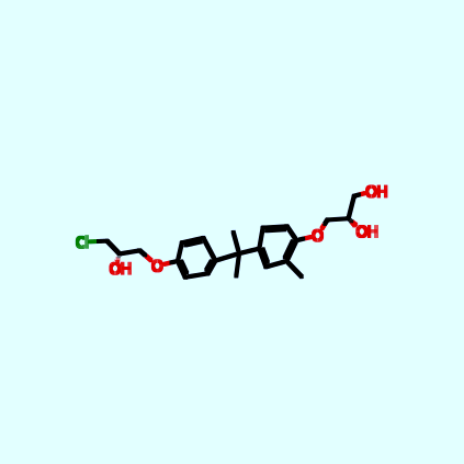 Cc1cc(C(C)(C)c2ccc(OC[C@H](O)CCl)cc2)ccc1OC[C@H](O)CO